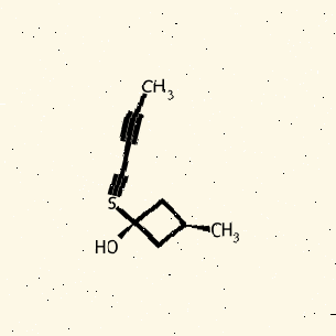 CC#CC#S[C@]1(O)C[C@@H](C)C1